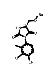 Cc1c(N2C(=O)N[C@@H](COC(C)(C)C)C2=O)ccc(C#N)c1Cl